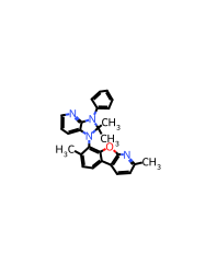 Cc1ccc2c(n1)oc1c(N3c4cccnc4N(c4ccccc4)C3(C)C)c(C)ccc12